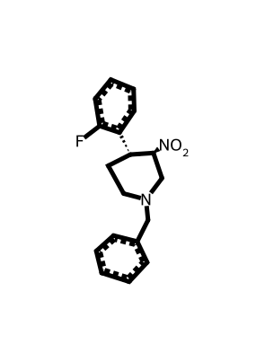 O=[N+]([O-])[C@H]1CN(Cc2ccccc2)CC[C@@H]1c1ccccc1F